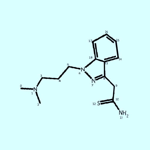 CN(C)CCCn1nc(CC(N)=S)c2ccccc21